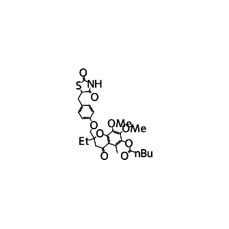 CCCCC(=O)Oc1c(C)c2c(c(OC)c1OC)OC(CC)(COc1ccc(CC3SC(=O)NC3=O)cc1)CC2=O